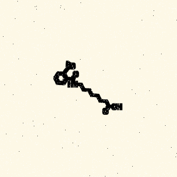 O=C(O)CCCCCCCNC(=O)c1ccccc1C1CO1